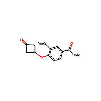 COC(=O)c1ccc(OC2CC(=O)C2)c(OC)c1